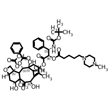 CC(=O)O[C@@]12CO[C@@H]1C[C@H](O)[C@@]1(C)C(=O)[C@H](O)C3=C(C)[C@@H](OC(=O)[C@H](OC(=O)CCCCN4CCN(C)CC4)[C@@H](NC(=O)OC(C)(C)C)c4ccccc4)C[C@@](O)([C@@H](OC(=O)c4ccccc4)C12)C3(C)C